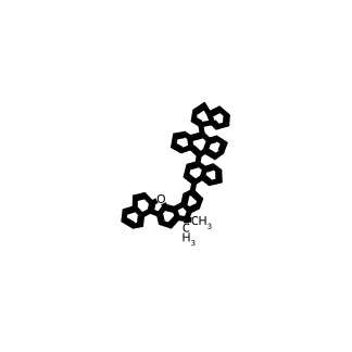 CC1(C)c2ccc(-c3ccc(-c4c5ccccc5c(-c5cccc6ccccc56)c5ccccc45)c4ccccc34)cc2-c2c1ccc1c2oc2ccc3ccccc3c21